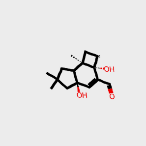 CC1(C)CC2[C@](O)(C=C(C=O)[C@]3(O)[C]C[C@]23C)C1